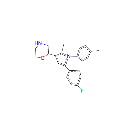 Cc1ccc(-n2c(-c3ccc(F)cc3)cc(C3CNCCO3)c2C)cc1